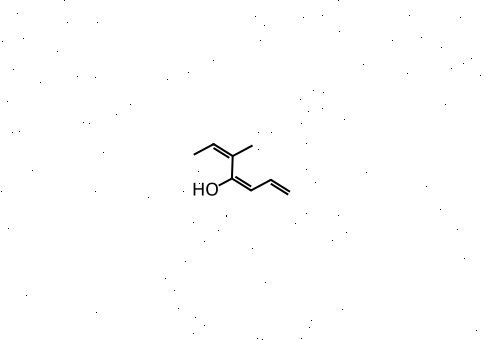 C=C/C=C(O)\C(C)=C/C